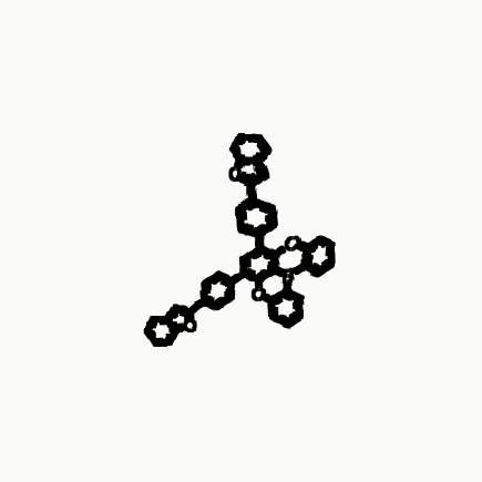 c1ccc2c(c1)Oc1c(-c3ccc(-c4cc5ccccc5o4)cc3)cc(-c3ccc(-c4cc5ccccc5o4)cc3)c3c1B2c1ccccc1O3